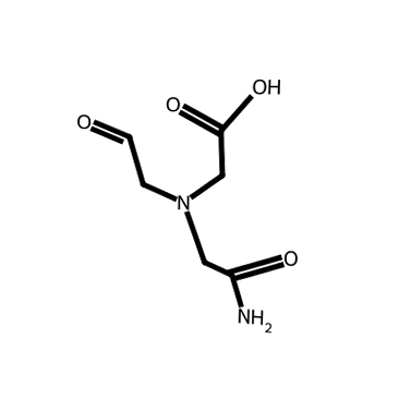 NC(=O)CN(CC=O)CC(=O)O